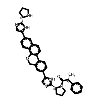 C[C@@H](C(=O)N1CCC[C@H]1c1ncc(-c2ccc3c(c2)COc2c-3ccc3cc(-c4cnc([C@@H]5CCCN5)[nH]4)ccc23)[nH]1)c1ccccc1